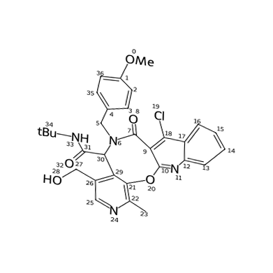 COc1ccc(CN2C(=O)c3c(nc4ccccc4c3Cl)Oc3c(C)ncc(CO)c3C2C(=O)NC(C)(C)C)cc1